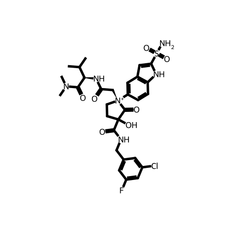 CC(C)[C@@H](NC(=O)C[N@+]1(c2ccc3[nH]c(S(N)(=O)=O)cc3c2)CCC(O)(C(=O)NCc2cc(F)cc(Cl)c2)C1=O)C(=O)N(C)C